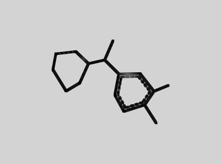 Cc1ccc(C(C)C2CCCCC2)cc1C